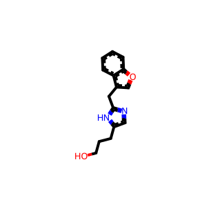 OCCCc1cnc(Cc2coc3ccccc23)[nH]1